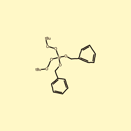 CC(C)(C)OO[Si](OCc1ccccc1)(OCc1ccccc1)OOC(C)(C)C